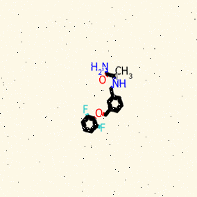 C[C@H](NCc1cccc(COc2c(F)cccc2F)c1)C(N)=O